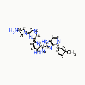 Cc1cccc(-c2nccc3[nH]c(-c4n[nH]c5ccc(-c6cncc(N7CC(N)C7)n6)nc45)nc23)c1